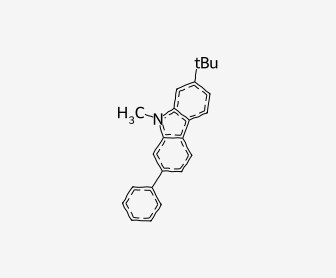 Cn1c2cc(-c3ccccc3)ccc2c2ccc(C(C)(C)C)cc21